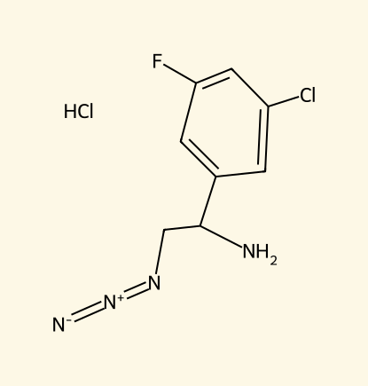 Cl.[N-]=[N+]=NCC(N)c1cc(F)cc(Cl)c1